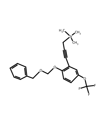 C[Si](C)(C)CC#Cc1cc(OC(F)(F)F)ccc1OCOCc1ccccc1